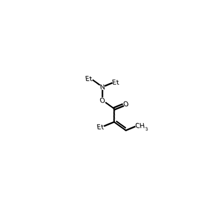 CC=C(CC)C(=O)ON(CC)CC